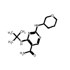 CC(C)(C)Nc1nc(NC2CCCOC2)ncc1C(N)=O